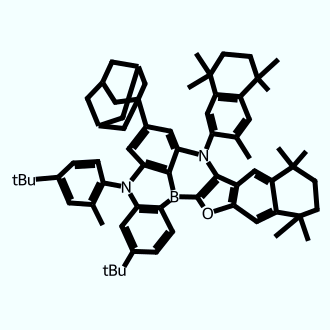 Cc1cc(C(C)(C)C)ccc1N1c2cc(C(C)(C)C)ccc2B2c3oc4cc5c(cc4c3N(c3cc4c(cc3C)C(C)(C)CCC4(C)C)c3cc(C46CC7CC(CC(C7)C4)C6)cc1c32)C(C)(C)CCC5(C)C